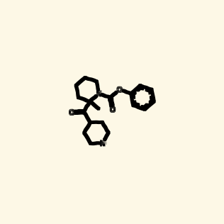 CC1(C(=O)C2CC[N]CC2)CCCCN1C(=O)Oc1ccccc1